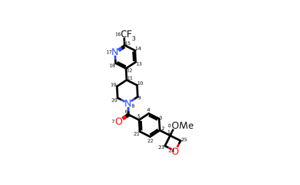 COC1(c2ccc(C(=O)N3CCC(c4ccc(C(F)(F)F)nc4)CC3)cc2)COC1